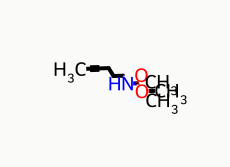 CC#CCCCNC(=O)OC(C)(C)C